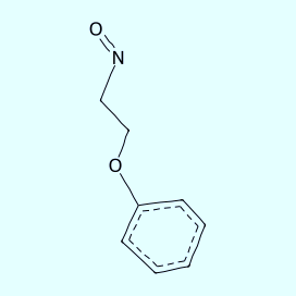 O=NCCOc1ccccc1